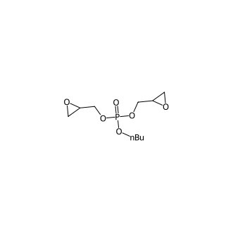 CCCCOP(=O)(OCC1CO1)OCC1CO1